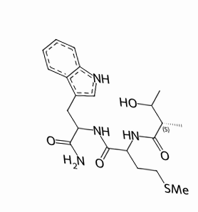 CSCCC(NC(=O)[C@@H](C)C(C)O)C(=O)NC(Cc1c[nH]c2ccccc12)C(N)=O